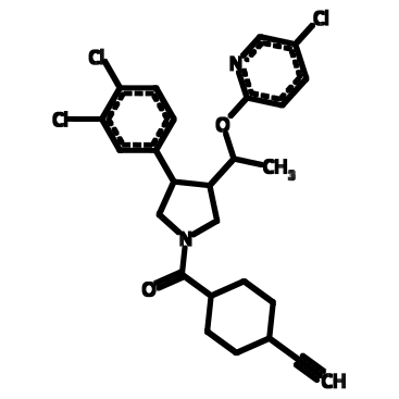 C#CC1CCC(C(=O)N2CC(c3ccc(Cl)c(Cl)c3)C(C(C)Oc3ccc(Cl)cn3)C2)CC1